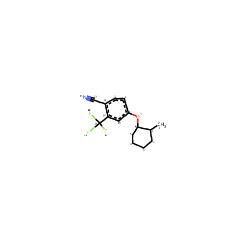 CC1CCCCC1Oc1ccc(C#N)c(C(F)(F)F)c1